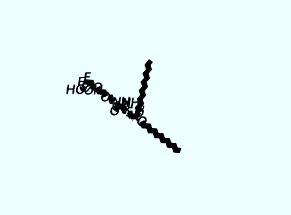 CCCCCCCCCCCCOC[C@H](CSC[C@H](N)C(=O)NCCOCCOCCC(F)(F)P(O)O)OCCCCCCCCCCCC